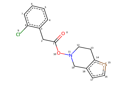 O=C(Cc1ccccc1Cl)ON1CCc2sccc2C1